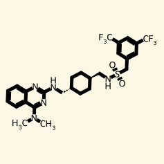 CN(C)c1nc(NC[C@H]2CC[C@H](CNS(=O)(=O)Cc3cc(C(F)(F)F)cc(C(F)(F)F)c3)CC2)nc2ccccc12